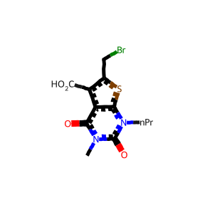 CCCn1c(=O)n(C)c(=O)c2c(C(=O)O)c(CBr)sc21